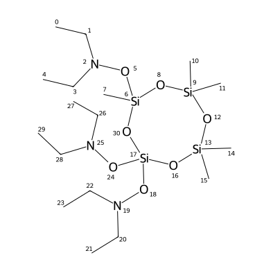 CCN(CC)O[Si]1(C)O[Si](C)(C)O[Si](C)(C)O[Si](ON(CC)CC)(ON(CC)CC)O1